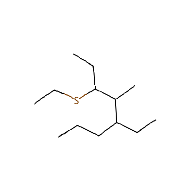 CCCC(CC)C(C)C(CC)SCC